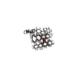 Cc1ccc(C(C)C)cc1.[Cl][Ru][Cl].c1ccc(P(c2ccccc2)c2ccc3ccccc3c2-c2c(P(c3ccccc3)c3ccccc3)ccc3ccccc23)cc1